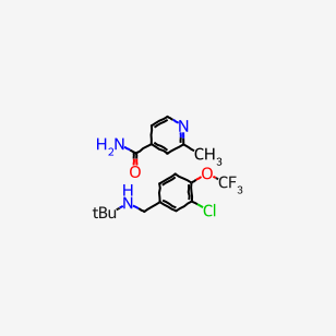 CC(C)(C)NCc1ccc(OC(F)(F)F)c(Cl)c1.Cc1cc(C(N)=O)ccn1